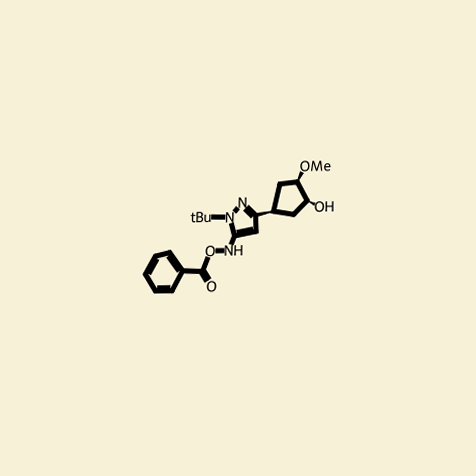 CO[C@@H]1C[C@H](c2cc(NOC(=O)c3ccccc3)n(C(C)(C)C)n2)C[C@H]1O